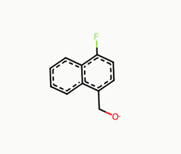 [O]Cc1ccc(F)c2ccccc12